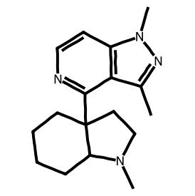 Cc1nn(C)c2ccnc(C34CCCCC3N(C)CC4)c12